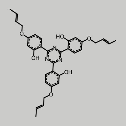 CC=CCOc1ccc(-c2nc(-c3ccc(OCC=CC)cc3O)nc(-c3ccc(OCC=CC)cc3O)n2)c(O)c1